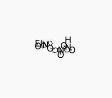 CCOC1(C)CCN([C@@H]2CCC[C@@H]2Oc2ccc3c(c2)CN(C2CCC(=O)NC2=O)C3=O)CC1